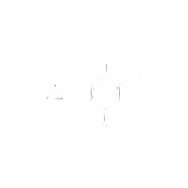 N#Cc1cc([N+](=O)[O-])c(OC2CC2)cc1F